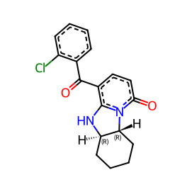 O=C(c1ccccc1Cl)c1ccc(=O)n2c1N[C@@H]1CCCC[C@H]12